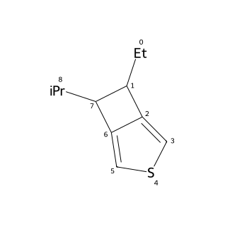 CCC1c2cscc2C1C(C)C